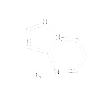 [N].c1cnc2ccnn2c1